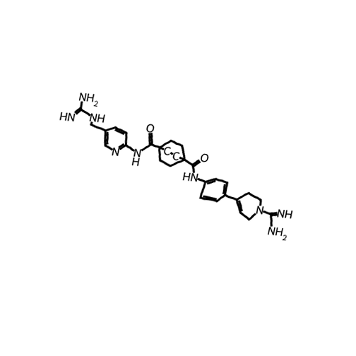 N=C(N)NCc1ccc(NC(=O)C23CCC(C(=O)Nc4ccc(C5=CCN(C(=N)N)CC5)cc4)(CC2)CC3)nc1